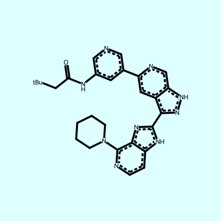 CC(C)(C)CC(=O)Nc1cncc(-c2cc3c(-c4nc5c(N6CCCCC6)nccc5[nH]4)n[nH]c3cn2)c1